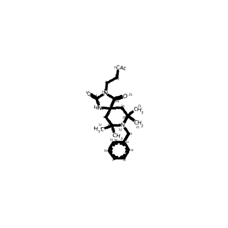 CC(=O)OCCN1C(=O)NC2(CC(C)(C)N(Cc3ccccc3)C(C)(C)C2)C1=O